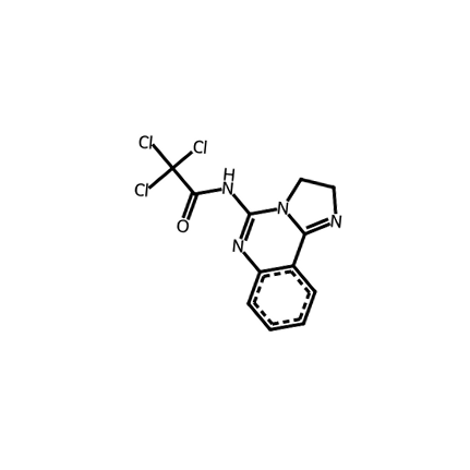 O=C(NC1=Nc2ccccc2C2=NCCN12)C(Cl)(Cl)Cl